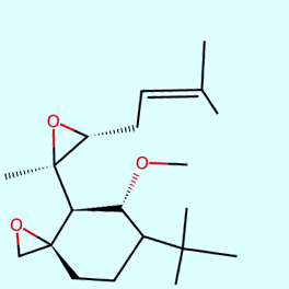 CO[C@@H]1C(C(C)(C)C)CC[C@]2(CO2)[C@H]1[C@@]1(C)O[C@@H]1CC=C(C)C